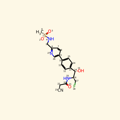 CS(=O)(=O)NCc1ccc(-c2ccc([C@H](O)[C@@H](CF)NC(=O)CC#N)cc2)cn1